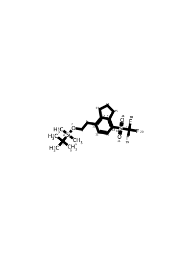 CC(C)(C)[Si](C)(C)OCCc1ccc(S(=O)(=O)C(F)(F)F)c2c1CCC2